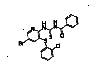 O=C(NC(=S)Nc1ncc(Br)cc1Sc1ccccc1Cl)c1ccccc1